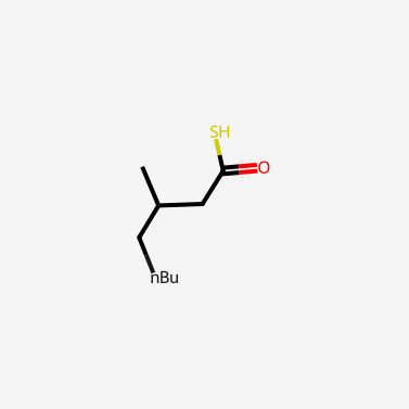 CCCCCC(C)CC(=O)S